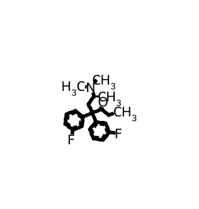 CCC(=O)C(C[C@H](C)N(C)C)(c1cccc(F)c1)c1cccc(F)c1